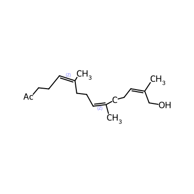 CC(=O)CC/C=C(/C)CC/C=C(/C)CCC=C(C)CO